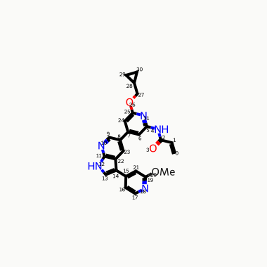 C=CC(=O)Nc1cc(-c2cnc3[nH]cc(-c4ccnc(OC)c4)c3c2)cc(OCC2CC2)n1